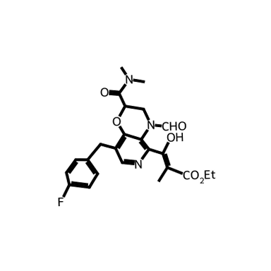 CCOC(=O)/C(C)=C(\O)c1ncc(Cc2ccc(F)cc2)c2c1N(C=O)CC(C(=O)N(C)C)O2